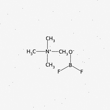 C[N+](C)(C)C.[O-]B(F)F